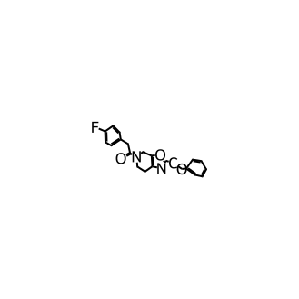 O=C(Cc1ccc(F)cc1)N1CCc2nc(COc3ccccc3)oc2C1